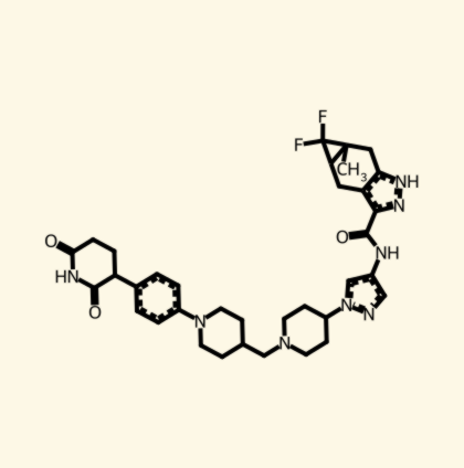 CC12Cc3[nH]nc(C(=O)Nc4cnn(C5CCN(CC6CCN(c7ccc(C8CCC(=O)NC8=O)cc7)CC6)CC5)c4)c3CC1C2(F)F